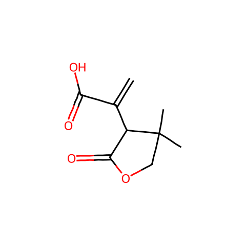 C=C(C(=O)O)C1C(=O)OCC1(C)C